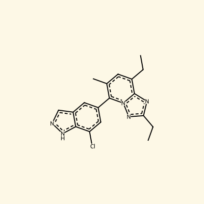 CCc1nc2c(CC)cc(C)c(-c3cc(Cl)c4[nH]ncc4c3)n2n1